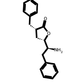 N[C@@H](Cc1ccccc1)[C@@H]1C[C@H](Cc2ccccc2)C(=O)O1